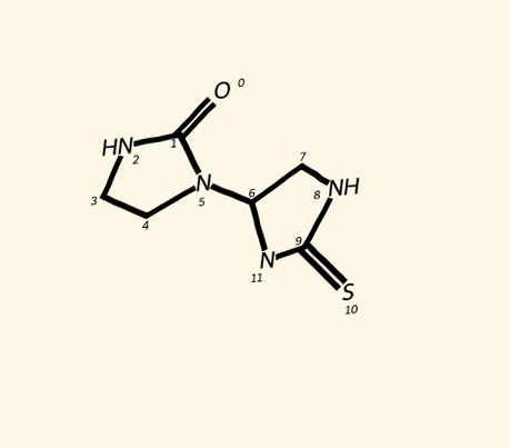 O=C1NCCN1C1CNC(=S)[N]1